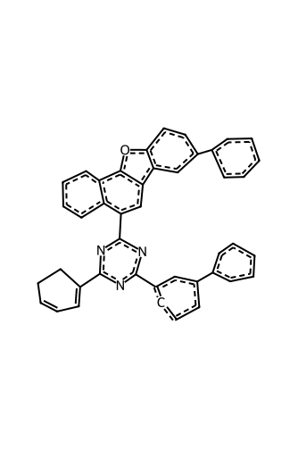 C1=CCCC(c2nc(-c3cccc(-c4ccccc4)c3)nc(-c3cc4c5cc(-c6ccccc6)ccc5oc4c4ccccc34)n2)=C1